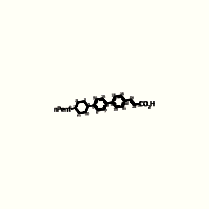 CCCCC[C@H]1CC[C@@H](c2ccc(-c3ccc(C=CC(=O)O)cc3)cc2)CC1